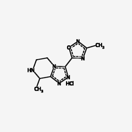 Cc1noc(-c2nnc3n2CCNC3C)n1.Cl